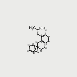 CC(C)Cc1cccc2c1CC1(CC2)CC2=CCC1C2